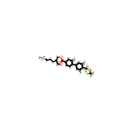 C=CCCC12COC(c3ccc(-c4cc(F)c(C(F)(F)OC(F)(F)F)c(F)c4)c(F)c3)(OC1)O2